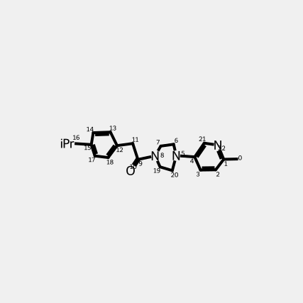 Cc1ccc(N2CCN(C(=O)Cc3ccc(C(C)C)cc3)CC2)cn1